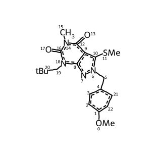 COc1ccc(Cn2nc3c(c2SC)c(=O)n(C)c(=O)n3CC(C)(C)C)cc1